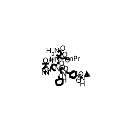 CCCOCCC(C)(NC(=O)[C@@H]1C[C@H](n2nncc2C(C)(C)O)CN1C(=O)[C@@H](CC1CCCCC1)NC(=O)c1ccc(S(=O)(=O)NC2CC2)cc1)C(=O)C(N)=O